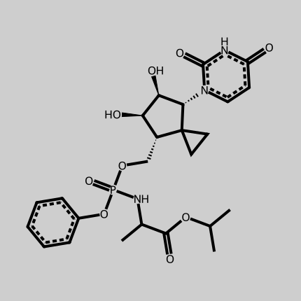 CC(C)OC(=O)C(C)NP(=O)(OC[C@@H]1[C@@H](O)[C@@H](O)[C@H](n2ccc(=O)[nH]c2=O)C12CC2)Oc1ccccc1